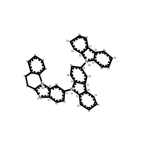 c1ccc2c(c1)CCc1nc3ccc(-n4c5ccccc5c5cc(-n6c7ccccc7c7ccccc76)ccc54)cc3n1-2